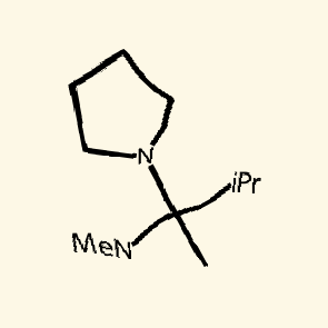 CNC(C)(C(C)C)N1CCCC1